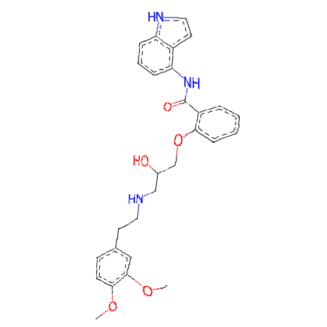 COc1ccc(CCNCC(O)COc2ccccc2C(=O)Nc2cccc3[nH]ccc23)cc1OC